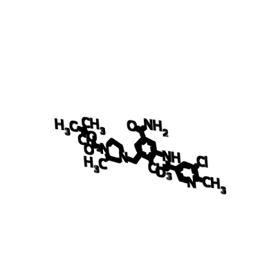 Cc1ncc(C(=O)Nc2cc(C(N)=O)cc(CN3CCN(C(=O)OC(C)(C)C)[C@@H](C)C3)c2C)cc1Cl